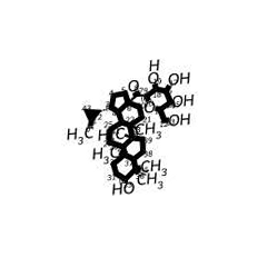 CC1=C([C@@H]2CC[C@]3(C(=O)[C@@H]4OC(CO)[C@@H](O)C(O)C4O)CC[C@]4(C)C(CCC5[C@@]6(C)CC[C@H](O)C(C)(C)C6CC[C@]54C)C23)C1